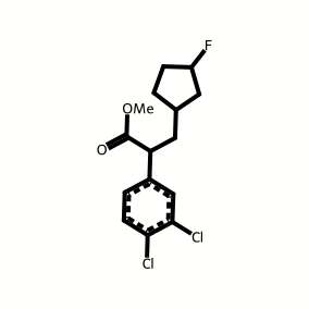 COC(=O)C(CC1CCC(F)C1)c1ccc(Cl)c(Cl)c1